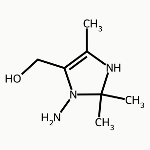 CC1=C(CO)N(N)C(C)(C)N1